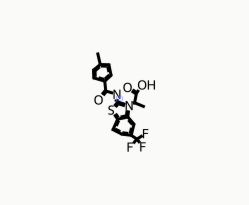 Cc1ccc(C(=O)/N=c2\sc3ccc(C(F)(F)F)cc3n2C(C)C(=O)O)cc1